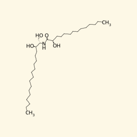 CCCCCCCCCCCCCCC[C@@H](O)[C@H](CO)NC(=O)[C@H](O)CCCCCCCCCCCC